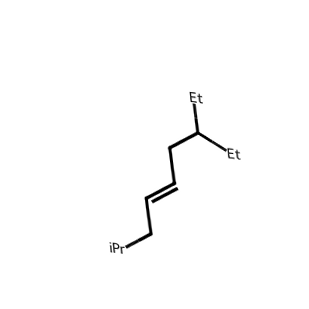 [CH2]C(C)C/C=C/CC(CC)CC